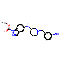 CC(C)(C)OC(=O)n1ncc2cc(NC3CCCN(Cc4cccc(N)c4)C3)ccc21